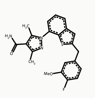 COc1cc(Cc2cc3cccc(-n4nc(C)c(C(N)=O)c4C)c3s2)ccc1F